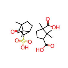 CC1(C(=O)O)CCC(C(=O)O)C1(C)C.CC12CCC(C(S(=O)(=O)O)C1=O)C2(C)C